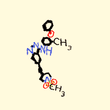 Cc1cc(Nc2ncnc3ccc(C#CC4=CCN(S(C)(=O)=O)CC4)cc23)ccc1Oc1ccccc1